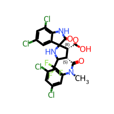 CN(C(=O)[C@@H]1C(C(F)(F)F)NC2(C(=O)Nc3c(Cl)cc(Cl)cc32)[C@@H]1C(=O)O)c1cc(Cl)cc(Cl)c1